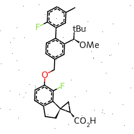 CO[C@@H](c1cc(COc2ccc3c(c2F)[C@]2(CC3)C[C@H]2C(=O)O)ccc1-c1cc(C)ccc1F)C(C)(C)C